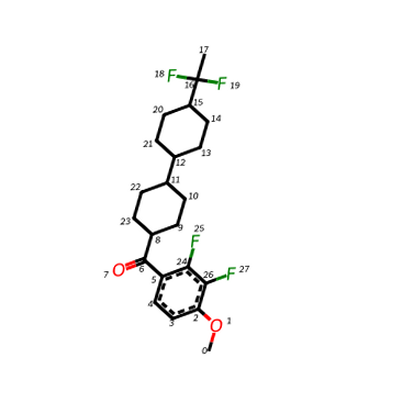 COc1ccc(C(=O)C2CCC(C3CCC(C(C)(F)F)CC3)CC2)c(F)c1F